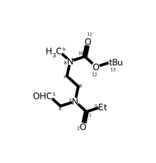 CCC(=O)N(CC=O)CCN(C)C(=O)OC(C)(C)C